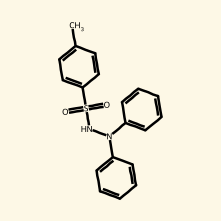 Cc1ccc(S(=O)(=O)NN(c2ccccc2)c2ccccc2)cc1